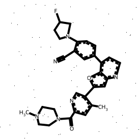 Cc1cc(C(=O)N2CCN(C)CC2)ncc1-c1cc2nccc(-c3ccc(N4CCC(F)C4)c(C#N)c3)c2o1